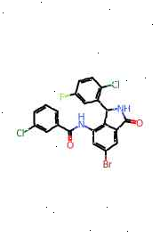 O=C(Nc1cc(Br)cc2c1C(c1cc(F)ccc1Cl)NC2=O)c1cccc(Cl)c1